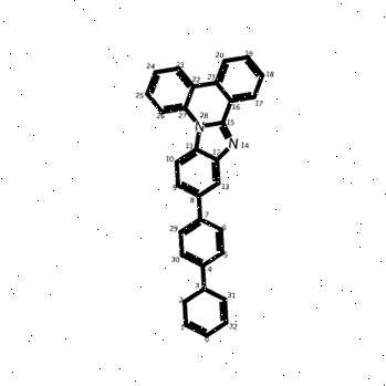 C1=CCC(c2ccc(-c3ccc4c(c3)nc3c5ccccc5c5ccccc5n43)cc2)C=C1